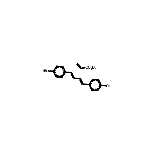 C=CC(=O)OCC.CC(C)(C)c1ccc(C=CC=Cc2ccc(O)cc2)cc1